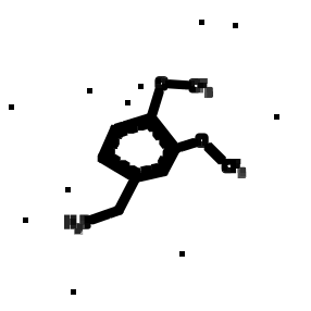 BCc1ccc(OC(F)(F)F)c(OC(F)(F)F)c1